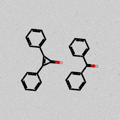 O=C(c1ccccc1)c1ccccc1.O=c1c(-c2ccccc2)c1-c1ccccc1